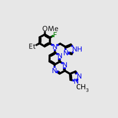 CCc1cc(OC)c(F)c(N(Cc2c[nH]cn2)c2ccc3ncc(-c4cnn(C)c4)nc3n2)c1